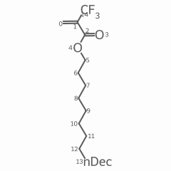 C=C(C(=O)OCCCCCCCCCCCCCCCCCC)C(F)(F)F